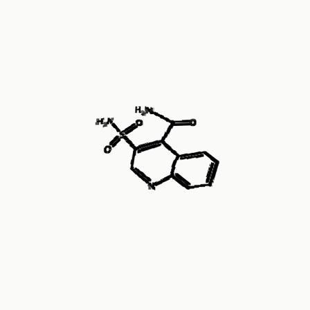 NC(=O)c1c(S(N)(=O)=O)cnc2ccccc12